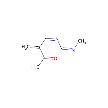 C=C(/C=N\C=N/C)C(C)=O